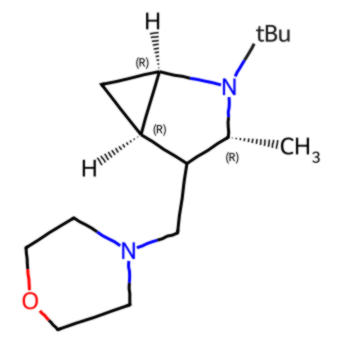 C[C@@H]1C(CN2CCOCC2)[C@H]2C[C@H]2N1C(C)(C)C